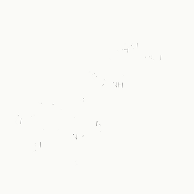 CC(C)C[C@@H](CO)NC(=O)c1cnc(N2CCCC2)c(-c2ccc(Cl)c(Cl)c2)c1